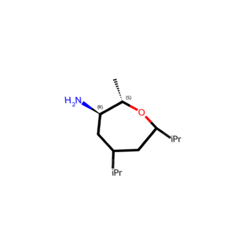 CC(C)C1CC(C(C)C)O[C@@H](C)[C@H](N)C1